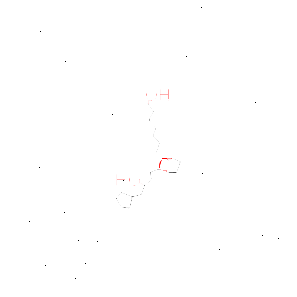 OCCCCCCCC1C2CCC(O2)C1CCC(O)CC1CCCC1